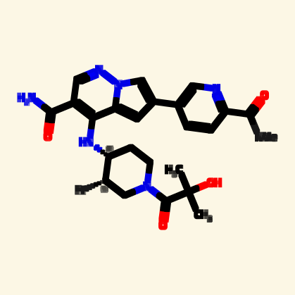 CC[C@H]1CN(C(=O)C(C)(C)O)CC[C@H]1Nc1c(C(N)=O)cnn2cc(-c3ccc(C(=O)NC)nc3)cc12